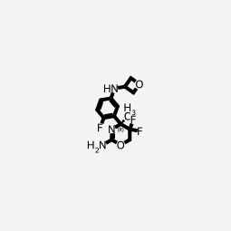 C[C@]1(c2cc(NC3COC3)ccc2F)N=C(N)OCC1(F)F